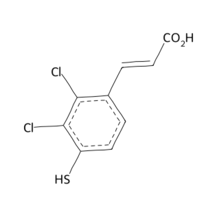 O=C(O)C=Cc1ccc(S)c(Cl)c1Cl